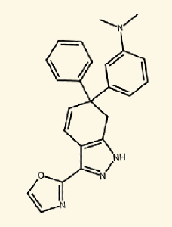 CN(C)c1cccc(C2(c3ccccc3)C=Cc3c(-c4ncco4)n[nH]c3C2)c1